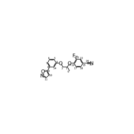 CC(COc1cccc(-c2ccno2)c1)Oc1ccc(C#N)cc1F